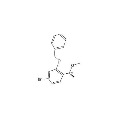 CO[C@@H](C)c1ccc(Br)cc1OCc1ccccc1